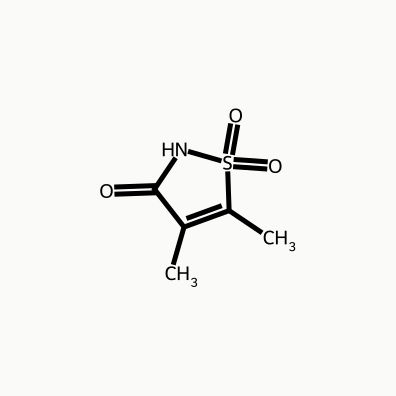 CC1=C(C)S(=O)(=O)NC1=O